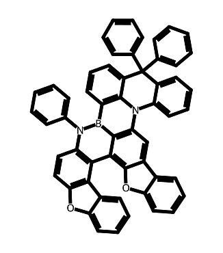 c1ccc(N2B3c4cccc5c4N(c4ccccc4C5(c4ccccc4)c4ccccc4)c4cc5c(oc6ccccc65)c(c43)-c3c2ccc2oc4ccccc4c32)cc1